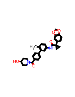 Cc1ccc(NC(=O)C2(c3ccc4c(c3)OCO4)CC2)cc1-c1ccc(C(=O)N2CCC(O)CC2)cc1